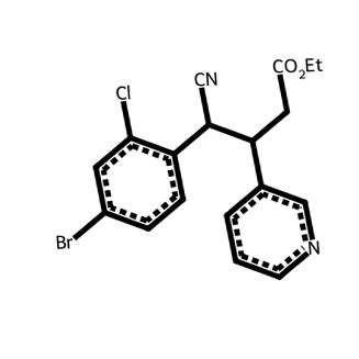 CCOC(=O)CC(c1cccnc1)C(C#N)c1ccc(Br)cc1Cl